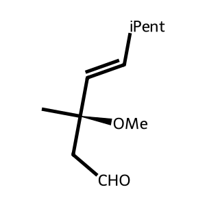 CCCC(C)/C=C/[C@@](C)(CC=O)OC